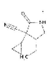 CC[C@H]1CNC(=O)C1(C#N)C1CC1